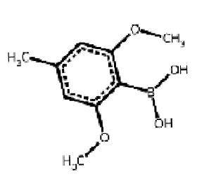 COc1cc(C)cc(OC)c1B(O)O